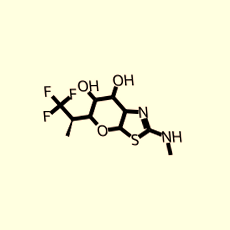 CNC1=NC2C(OC([C@@H](C)C(F)(F)F)C(O)C2O)S1